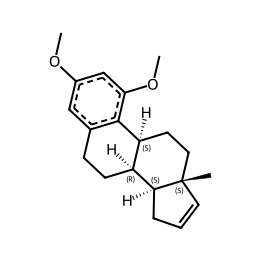 COc1cc2c(c(OC)c1)[C@H]1CC[C@]3(C)C=CC[C@H]3[C@H]1CC2